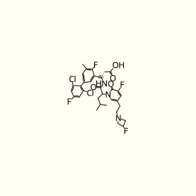 Cc1cc(-c2c(Cl)cc(F)cc2Cl)cc([C@H](CC(=O)O)NC(=O)C(CC(C)C)n2cc(CCN3CC(F)C3)cc(F)c2=O)c1F